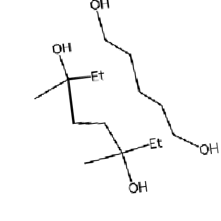 CCC(C)(O)CCC(C)(O)CC.OCCCCCO